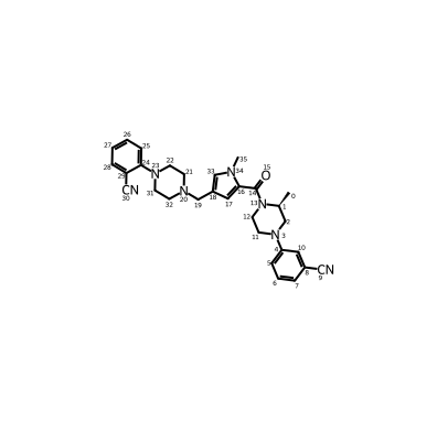 C[C@H]1CN(c2cccc(C#N)c2)CCN1C(=O)c1cc(CN2CCN(c3ccccc3C#N)CC2)cn1C